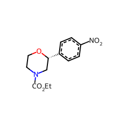 CCOC(=O)N1CCO[C@H](c2ccc([N+](=O)[O-])cc2)C1